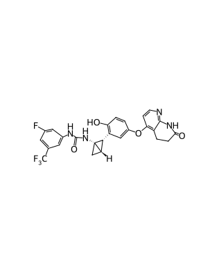 O=C1CCc2c(Oc3ccc(O)c([C@@H]4[C@@H]5C[C@@]45NC(=O)Nc4cc(F)cc(C(F)(F)F)c4)c3)ccnc2N1